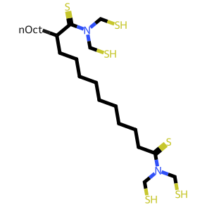 CCCCCCCCC(CCCCCCCCCC(=S)N(CS)CS)C(=S)N(CS)CS